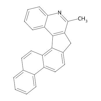 Cc1nc2ccccc2c2c1Cc1ccc3c(ccc4ccccc43)c1-2